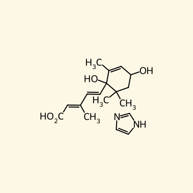 CC1=CC(O)CC(C)(C)C1(O)/C=C/C(C)=C/C(=O)O.c1c[nH]cn1